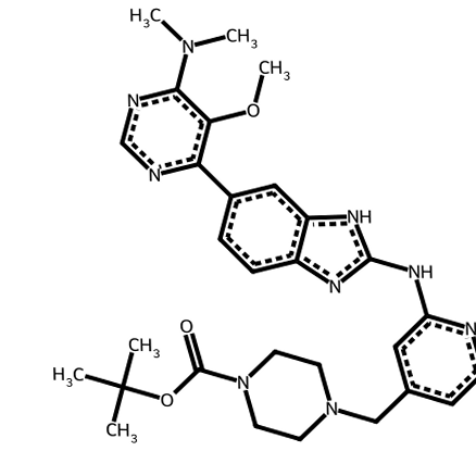 COc1c(-c2ccc3nc(Nc4cc(CN5CCN(C(=O)OC(C)(C)C)CC5)ccn4)[nH]c3c2)ncnc1N(C)C